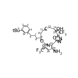 CC(C)(C)c1cccc(CCCC2CCCCC[C@](O)(C(F)(F)F)c3nnc(o3)-c3nc(c(C(F)(F)F)cc3N)O2)c1